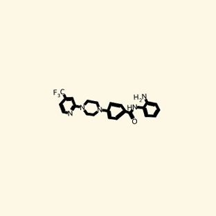 Nc1ccccc1NC(=O)c1ccc(N2CCN(c3cc(C(F)(F)F)ccn3)CC2)cc1